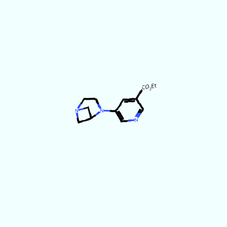 CCOC(=O)c1cncc(N2CCN3CC2C3)c1